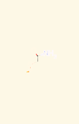 NC(=O)COP=S